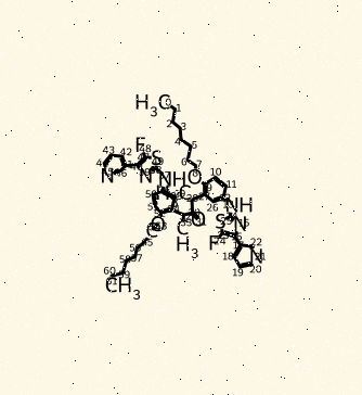 CCCCCCCCOc1ccc(Nc2nc(-c3cccnc3)c(F)s2)cc1C(C)C(=O)C(C)c1cc(Nc2nc(-c3cccnc3)c(F)s2)ccc1OCCCCCCCC